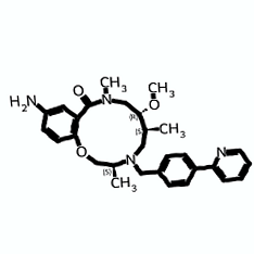 CO[C@H]1CN(C)C(=O)c2cc(N)ccc2OC[C@H](C)N(Cc2ccc(-c3ccccn3)cc2)C[C@@H]1C